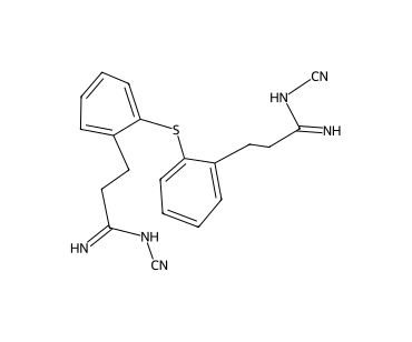 N#CNC(=N)CCc1ccccc1Sc1ccccc1CCC(=N)NC#N